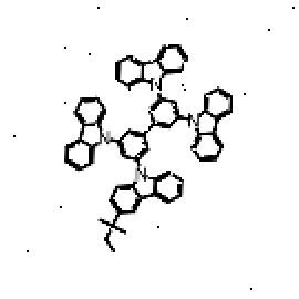 CCC(C)(C)c1ccc2c(c1)c1ccccc1n2-c1cc(-c2cc(-n3c4ccccc4c4ccccc43)cc(-n3c4ccccc4c4ccccc43)c2)cc(-n2c3ccccc3c3ccccc32)c1